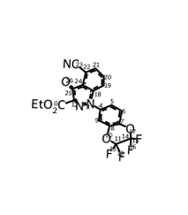 CCOC(=O)c1nn(-c2ccc3c(c2)OC(F)(F)C(F)(F)O3)c2cccc(C#N)c2c1=O